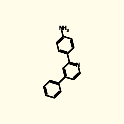 Nc1ccc(-c2cc(-c3ccccc3)ccn2)cc1